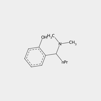 CCCC(c1ccccc1O)N(C)C